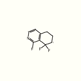 Fc1n[c]cc2c1C(F)(F)[C]CC2